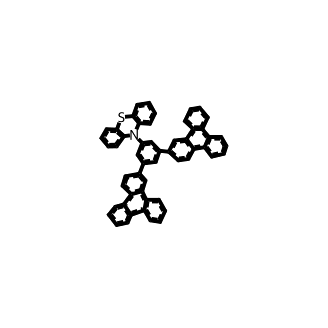 c1ccc2c(c1)Sc1ccccc1N2c1cc(-c2ccc3c4ccccc4c4ccccc4c3c2)cc(-c2ccc3c4ccccc4c4ccccc4c3c2)c1